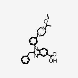 CCOC(C)N1CCN(c2cccc(-n3c(Cc4ccccc4)nc4cc(C(=O)O)ccc43)c2)CC1